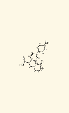 O=C(O)c1cc2cc[nH]c(=O)c2c2cc(-c3ccc(O)cc3)ccc12